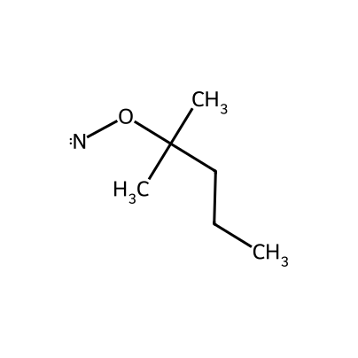 CCCC(C)(C)O[N]